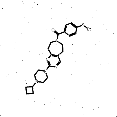 CCSc1ccc(C(=O)N2CCc3cnc(N4CCN(C5CCC5)CC4)nc3CC2)cc1